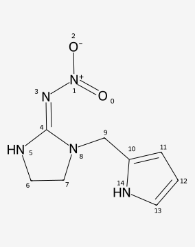 O=[N+]([O-])N=C1NCCN1Cc1ccc[nH]1